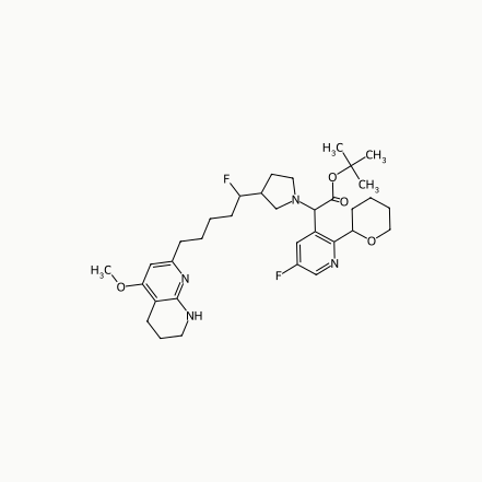 COc1cc(CCCCC(F)C2CCN(C(C(=O)OC(C)(C)C)c3cc(F)cnc3C3CCCCO3)C2)nc2c1CCCN2